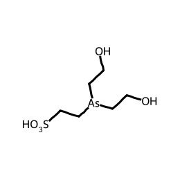 O=S(=O)(O)CC[As](CCO)CCO